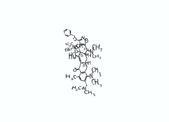 Cc1cc(CN(C)C)c(N(C)C)c2c1C(=O)C1=C(O)[C@]3(O[Si](C)(C)C(C)(C)C)C(=O)c4c(OCc5ccccc5)noc4[C@@H](N(C)C)[C@@H]3C[C@@H]1C2